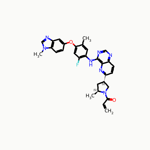 C=CC(=O)N1C[C@@H](c2ccc3ncnc(Nc4cc(C)c(Oc5ccc6c(c5)ncn6C)cc4F)c3n2)C[C@@H]1C